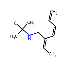 C=C/C=C\C(=C/C)CNC(C)(C)C